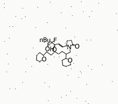 CCCCC(F)(F)C(=O)C=CC1CCC(=O)N1CC(CCCCC(O)C1CCCCO1)C1CCCCO1